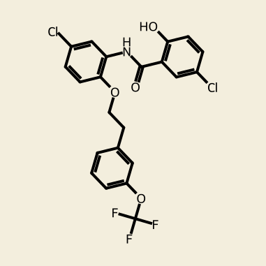 O=C(Nc1cc(Cl)ccc1OCCc1cccc(OC(F)(F)F)c1)c1cc(Cl)ccc1O